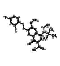 COc1cc2c(cc1CCc1ccc(F)cc1F)c(=O)c(C(=O)O)cn2[C@H](CO)C(C)(C)C